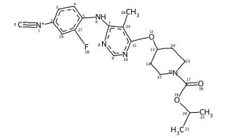 [C-]#[N+]c1ccc(Nc2ncnc(OC3CCN(C(=O)OC(C)C)CC3)c2C)c(F)c1